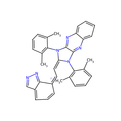 Cc1cccc(C)c1N1C(=C/C=c2/cccc3c2=NN=C3)N(c2c(C)cccc2C)c2nc3ccccc3nc21